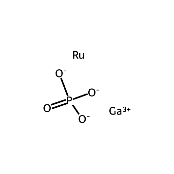 O=P([O-])([O-])[O-].[Ga+3].[Ru]